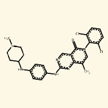 Cc1cn(-c2c(Cl)cccc2Cl)c(=O)c2cnc(Nc3ccc(NC4CCN(C)CC4)cc3)nc12